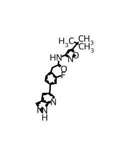 CC(C)(C)c1cc(NC(=O)Cc2ccc(-c3cnc4[nH]ncc4c3)cc2F)no1